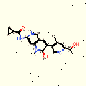 Cc1cc([C@H](C)O)ncc1C1=Cc2cnc(NC(=O)C3CC3)cc2N(C)C1O